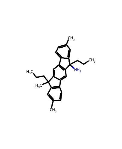 CCCC1(C)c2cc(C)ccc2-c2cc3c(cc21)-c1ccc(C)cc1C3(N)CCC